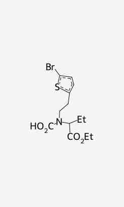 CCOC(=O)C(CC)N(CCc1ccc(Br)s1)C(=O)O